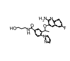 CC(Oc1cc2cc(F)ccc2nc1N)c1cc(C(=O)NCCCO)ccc1-n1cccn1